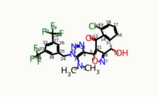 CN(C)c1c(-c2onc(CO)c2C(=O)c2ccccc2Cl)nnn1Cc1cc(C(F)(F)F)cc(C(F)(F)F)c1